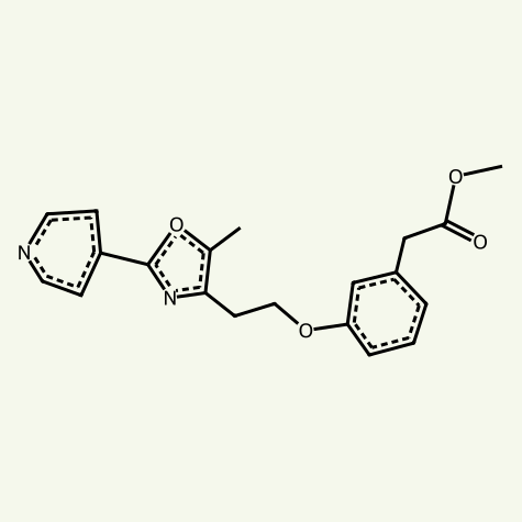 COC(=O)Cc1cccc(OCCc2nc(-c3ccncc3)oc2C)c1